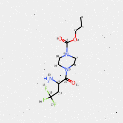 CCCOC(=O)N1CCN(C(=O)C(N)CC(F)(F)F)CC1